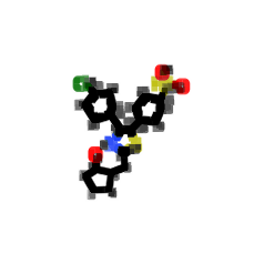 O=C1CCCC1Cc1nc(-c2ccc(Cl)cc2)c(-c2ccc([SH](=O)=O)cc2)s1